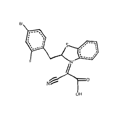 N#CC(C(=O)O)=[N+]1c2ccccc2SC1Cc1ccc(Br)cc1F